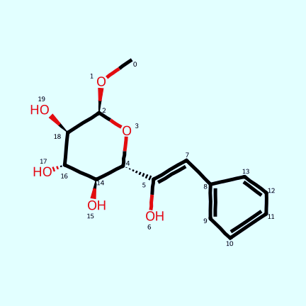 CO[C@H]1O[C@H](C(O)=Cc2ccccc2)[C@@H](O)[C@H](O)[C@H]1O